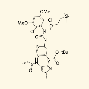 C=CC(=O)Nc1cn(C)nc1N(C(=O)OC(C)(C)C)c1cc(N(C)C(=O)N(COCC[Si](C)(C)C)c2c(Cl)c(OC)cc(OC)c2Cl)ncn1